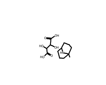 CC12CCCC(CCC1)N2.O=C(O)C(O)C(O)C(=O)O